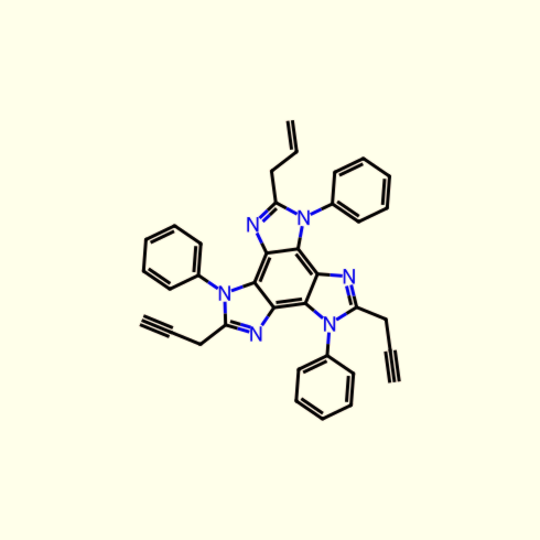 C#CCc1nc2c(c3nc(CC#C)n(-c4ccccc4)c3c3nc(CC=C)n(-c4ccccc4)c23)n1-c1ccccc1